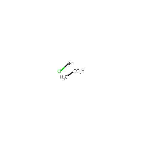 CC(=O)O.CC(C)Cl